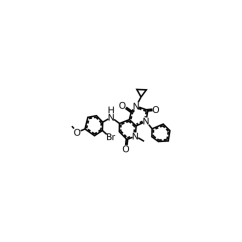 COc1ccc(Nc2cc(=O)n(C)c3c2c(=O)n(C2CC2)c(=O)n3-c2ccccc2)c(Br)c1